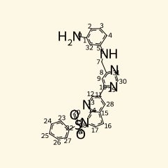 Nc1cccc(NCc2cc(-c3cnc4c(ccn4S(=O)(=O)c4ccccc4)c3)ncn2)c1